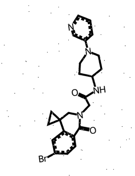 O=C(CN1CC2(CC2)c2cc(Br)ccc2C1=O)NC1CCN(c2cccnc2)CC1